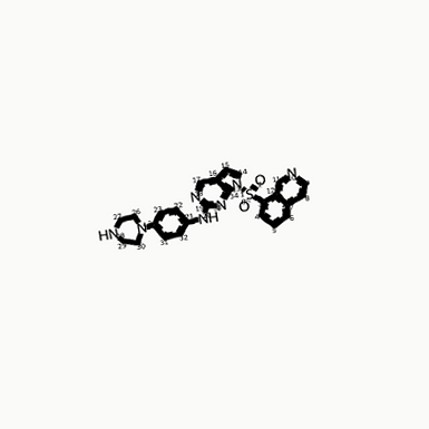 O=S(=O)(c1cccc2ccncc12)n1ccc2cnc(Nc3ccc(N4CCNCC4)cc3)nc21